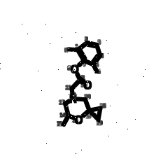 Cc1cccc(C)c1OC(=O)CN1CC(C)OC2(CC2)C1